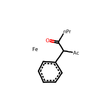 CCCC(=O)C(C(C)=O)c1ccccc1.[Fe]